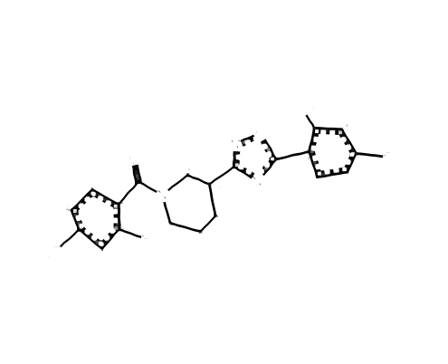 O=C(c1ccc(F)cc1F)N1CCCC(c2noc(-c3ccc(F)cc3F)n2)C1